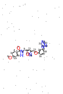 COc1ccc(C(=O)NCc2cc(COc3cccc(-n4cncn4)c3)no2)cc1